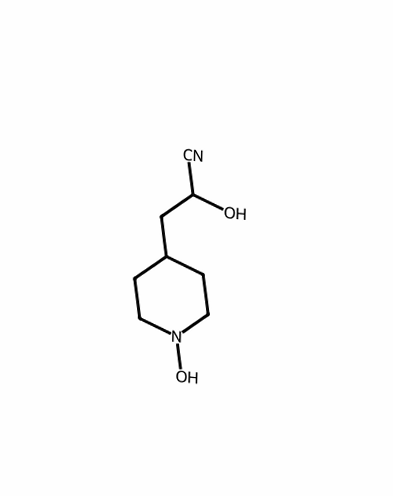 N#CC(O)CC1CCN(O)CC1